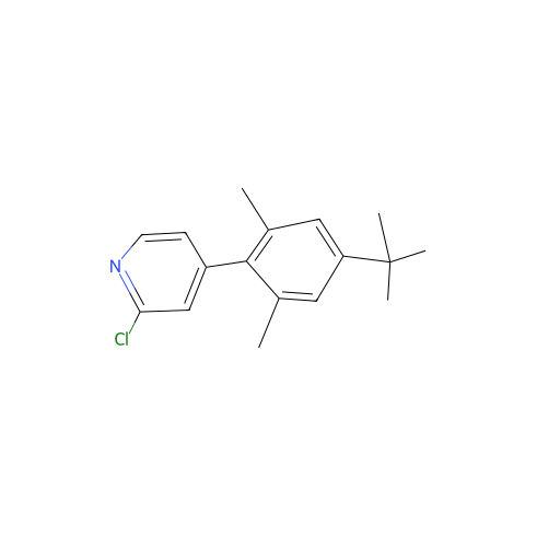 Cc1cc(C(C)(C)C)cc(C)c1-c1ccnc(Cl)c1